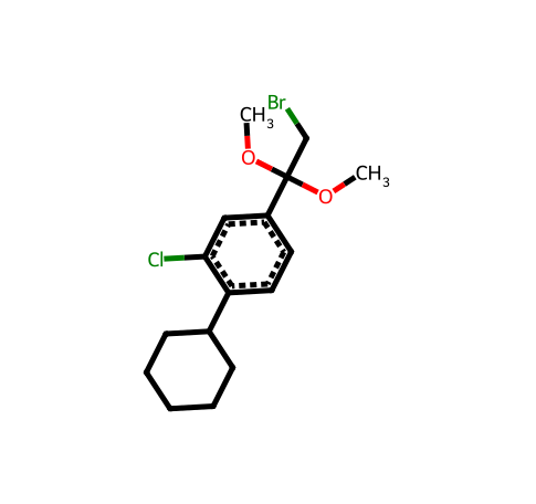 COC(CBr)(OC)c1ccc(C2CCCCC2)c(Cl)c1